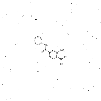 CCN(CC)c1ccc(C(=O)Nc2ccccc2)cc1[N+](=O)[O-]